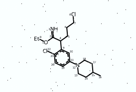 CCOC(=N)C(CCCCl)c1cc(N2CCC(C)CC2)ccc1Cl